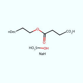 CCCCCCCCCCCCOC(=O)CCC(=O)O.O=S(=O)(O)O.[NaH]